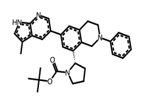 Cc1c[nH]c2ncc(-c3cc4c(c([C@@H]5CCCN5C(=O)OC(C)(C)C)c3)CN(c3ccccc3)CC4)cc12